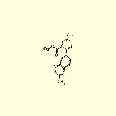 Cc1cnc2cc(C3=CC[C@H](C)CN3C(=O)OC(C)(C)C)ccc2c1